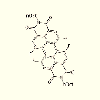 CCCCCCCCN1C(=O)c2cc(F)c3c4c(F)cc5c6c(cc(F)c(c7c(F)cc(c2c37)C1=O)c64)C(=O)N(CCCCCCCC)C5=O